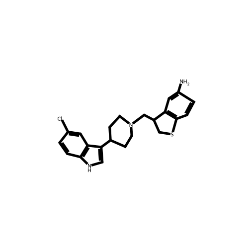 Nc1ccc2c(c1)C(CN1CCC(c3c[nH]c4ccc(Cl)cc34)CC1)CS2